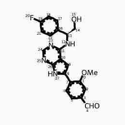 COc1cc(C=O)ccc1-c1cc2c(N[C@H](CO)c3ccc(F)cc3)ncnc2[nH]1